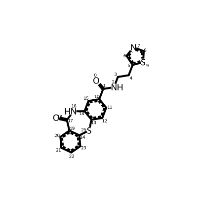 O=C(NCCc1cncs1)c1ccc2c(c1)NC(=O)c1ccccc1S2